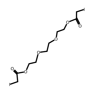 O=C(CI)OCCOCCOCCOC(=O)CI